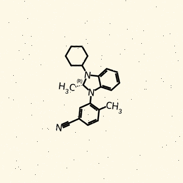 Cc1ccc(C#N)cc1N1c2ccccc2N(C2CCCCC2)[C@H]1C